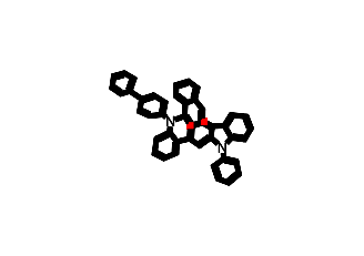 c1ccc(-c2ccc(N(c3ccccc3-c3ccc4c5ccccc5n(-c5ccccc5)c4c3)c3cccc4ccccc34)cc2)cc1